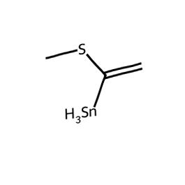 C=[C]([SnH3])SC